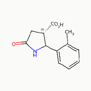 Cc1ccccc1C1NC(=O)C[C@@H]1C(=O)O